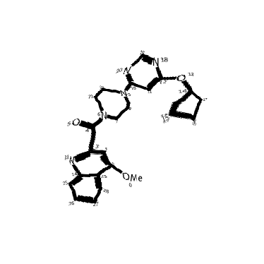 COc1cc(C(=O)N2CCN(c3cc(OC4CCC4)ncn3)CC2)nc2ccccc12